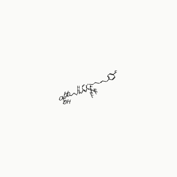 O=[PH](O)OCCCNCc1ccc(CCCCCCc2ccc(F)cc2)c(C(F)(F)F)c1